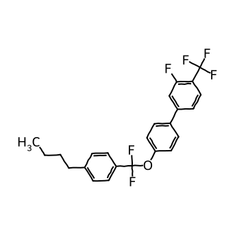 CCCCc1ccc(C(F)(F)Oc2ccc(-c3ccc(C(F)(F)F)c(F)c3)cc2)cc1